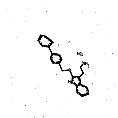 Cl.NCCc1c(OCc2ccc(-c3ccccc3)cc2)[nH]c2ccccc12